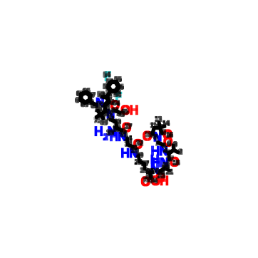 CC(C)C(NC(=O)CN1C(=O)CC(C)(C)C1=O)C(=O)N[C@@H](C)C(=O)N[C@@H](CCCCNC(=O)CCNC(=O)[C@@H](N)CCN(C(=O)CO)[C@@H](c1cc(-c2cc(F)ccc2F)cn1Cc1ccccc1)C(C)(C)C)C(=O)O